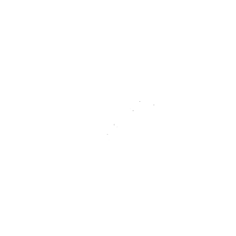 CC(C)(O)C(=O)N1CCN(C(=O)O)CC1